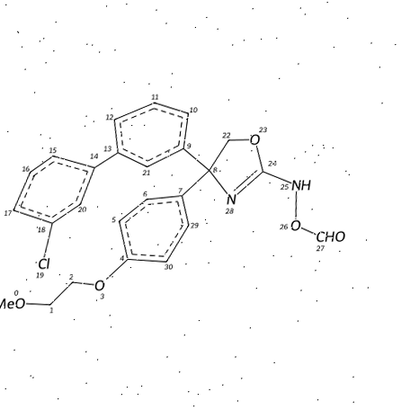 COCCOc1ccc(C2(c3cccc(-c4cccc(Cl)c4)c3)COC(NOC=O)=N2)cc1